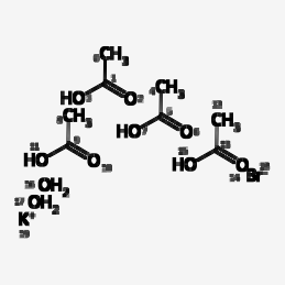 CC(=O)O.CC(=O)O.CC(=O)O.CC(=O)O.O.O.[Br-].[K+]